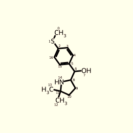 CSc1ccc(C(O)C2CCC(C)(C)N2)cc1